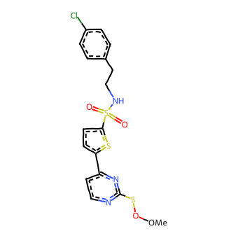 COOSc1nccc(-c2ccc(S(=O)(=O)NCCc3ccc(Cl)cc3)s2)n1